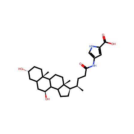 C[C@H](CCC(=O)Nc1c[nH]c(C(=O)O)c1)[C@H]1CCC2C3C(CC[C@@]21C)[C@@]1(C)CC[C@@H](O)CC1C[C@@H]3O